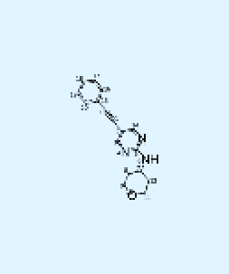 C(#Cc1cnc(NC2CCOCC2)nc1)c1ccccc1